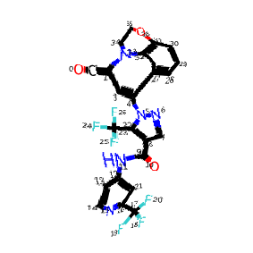 O=C=C1C=C(n2ncc(C(=O)Nc3ccnc(C(F)(F)F)c3)c2C(F)(F)F)c2cccc3c2N1CCO3